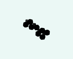 c1ccc(-n2c3ccccc3c3ccc4c(c5ccccc5n4-c4ccc5oc6c(-c7cccc8sc9ccccc9c78)cccc6c5c4)c32)cc1